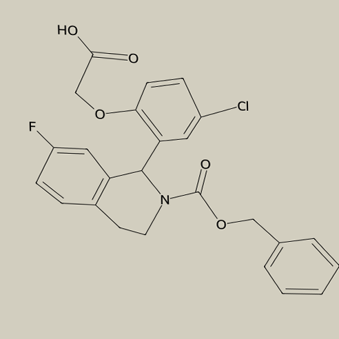 O=C(O)COc1ccc(Cl)cc1C1c2cc(F)ccc2CCN1C(=O)OCc1ccccc1